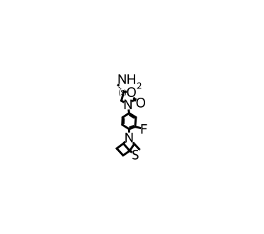 NC[C@H]1CN(c2ccc(N3C4CCC45SCC35)c(F)c2)C(=O)O1